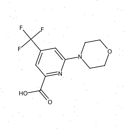 O=C(O)c1cc(C(F)(F)F)cc(N2CCOCC2)n1